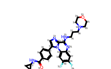 O=C(NC1CC1)c1ccc(-c2cnc3c(NCCCN4CCOCC4)nc4cc(F)c(F)cc4n23)cc1